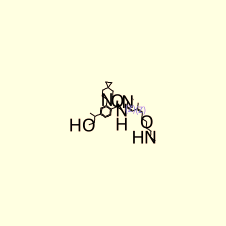 C=N/C(=C\C(C)=C/COCCNC)NC(=O)c1ccc(C(C)CO)cc1N1CCC2(CC1)CC2